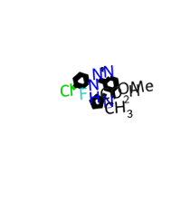 COc1cc2ncnc(Nc3cccc(Cl)c3F)c2cc1CN(C)C1(C(=O)O)CC=CC1